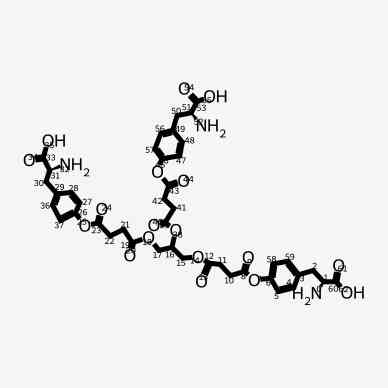 N[C@@H](Cc1ccc(OC(=O)CCC(=O)OCC(COC(=O)CCC(=O)Oc2ccc(C[C@H](N)C(=O)O)cc2)OC(=O)CCC(=O)Oc2ccc(C[C@H](N)C(=O)O)cc2)cc1)C(=O)O